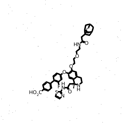 C[C@]1(CC(=O)Nc2nccs2)NCCc2cc(OCCOCCNC(=O)CC34CC5CC(CC3C5)C4)c(Oc3ccc(-c4ccc(C(=O)O)cc4)c(F)c3)cc21